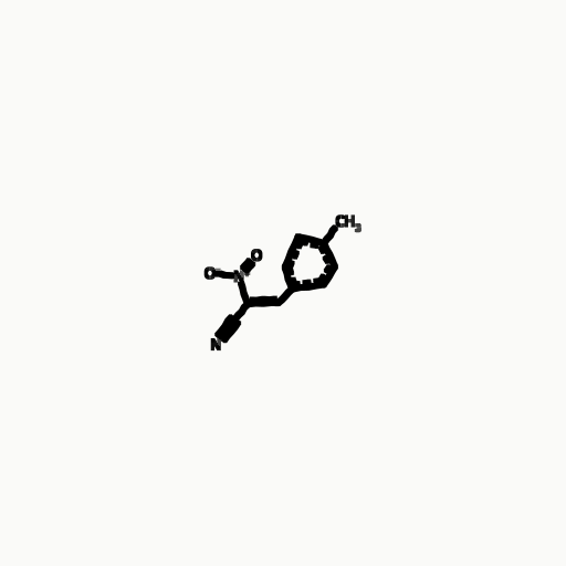 Cc1ccc(/C=C(/C#N)[N+](=O)[O-])cc1